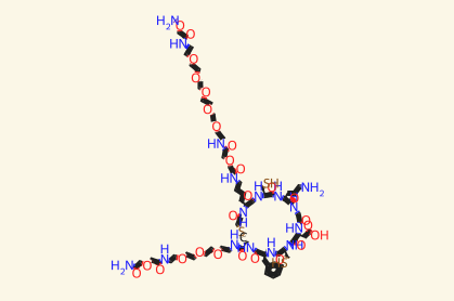 NCCC[C@@H]1NC(=O)[C@H](CS)NC(=O)[C@H](CCCCNC(=O)COCC(=O)NCCOCCOCCOCCOCCOCCNC(=O)CON)NC(=O)CSC[C@@H](C(=O)NCCOCCOCCOCCNC(=O)COCC(N)=O)NC(=O)[C@H](Cc2ccccc2)NC(=O)[C@H](CS)NC(=O)[C@H](CC(=O)O)NC(=O)CNC1=O